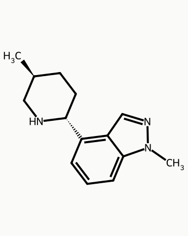 C[C@H]1CC[C@H](c2cccc3c2cnn3C)NC1